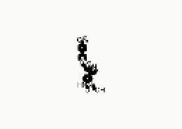 CN(C)C(=O)c1ccc(C2CCN(Cc3cc4c(-c5ccc6[nH]c(=O)n(CCO)c6c5)ccnc4n3C)CC2)cc1